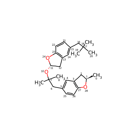 C[C@@H]1Cc2cc(CC(C)(C)O[C@H]3Cc4cc(CC(C)(C)C)ccc4O3)ccc2O1